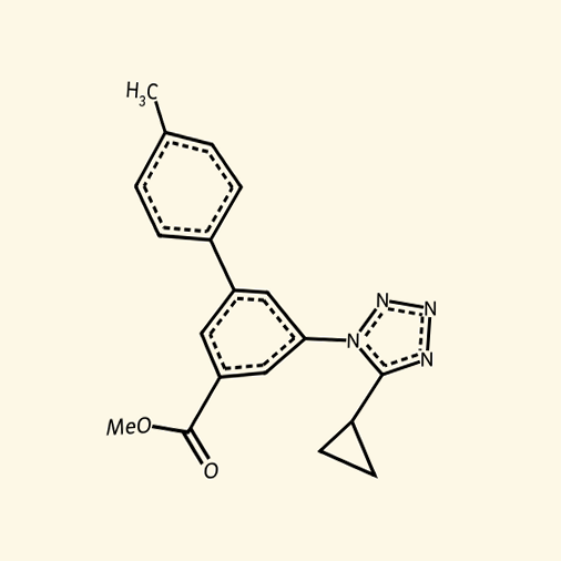 COC(=O)c1cc(-c2ccc(C)cc2)cc(-n2nnnc2C2CC2)c1